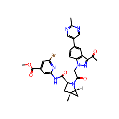 COC(=O)c1cc(Br)nc(NC(=O)[C@@H]2C[C@@]3(C)C[C@H]3N2C(=O)Cn2nc(C(C)=O)c3cc(-c4cnc(C)nc4)ccc32)c1